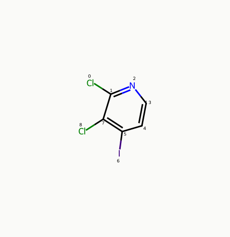 Clc1n[c]cc(I)c1Cl